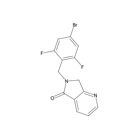 O=C1c2cccnc2CN1Cc1c(F)cc(Br)cc1F